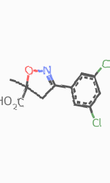 CC1(C(=O)O)CC(c2cc(Cl)cc(Cl)c2)=NO1